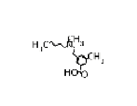 CCCCCN(C)CCc1cc(C)cc(C(=O)O)c1